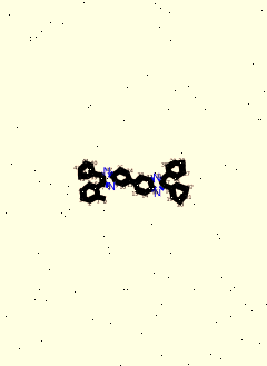 Cc1ccccc1-c1nc2cc(-c3ccc4nc(-c5ccccc5)c(-c5ccccc5)nc4c3)ccc2nc1-c1ccccc1